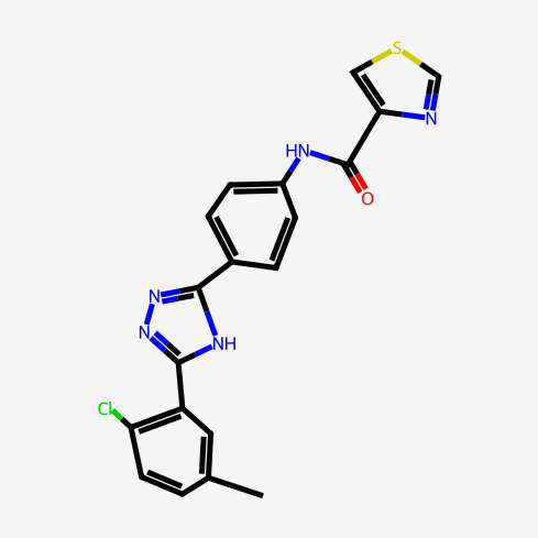 Cc1ccc(Cl)c(-c2nnc(-c3ccc(NC(=O)c4cscn4)cc3)[nH]2)c1